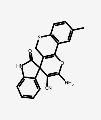 Cc1ccc2c(c1)C1=C(CS2)C2(C(=O)Nc3ccccc32)C(C#N)=C(N)O1